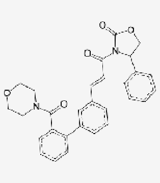 O=C(c1ccccc1-c1cccc(C=CC(=O)N2C(=O)OCC2c2ccccc2)c1)N1CCOCC1